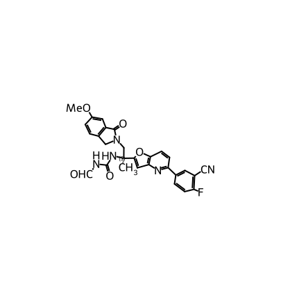 COc1ccc2c(c1)C(=O)N(C[C@](C)(NC(=O)NC=O)c1cc3nc(-c4ccc(F)c(C#N)c4)ccc3o1)C2